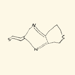 S=C1N=C2CSCC2=N1